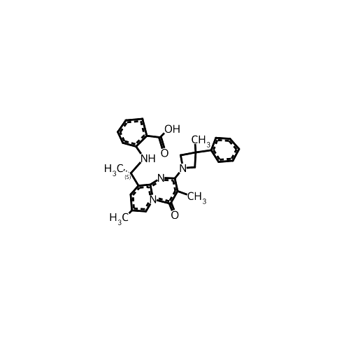 Cc1cc([C@H](C)Nc2ccccc2C(=O)O)c2nc(N3CC(C)(c4ccccc4)C3)c(C)c(=O)n2c1